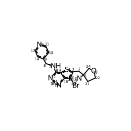 NC1(Cc2sc3c(NCc4ccncc4)nnnc3c2Br)CCOC1